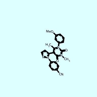 COc1cccc(-n2c(C)c(-c3ccnn3-c3ccc(C#N)cc3)c(=O)n(C)c2=O)c1